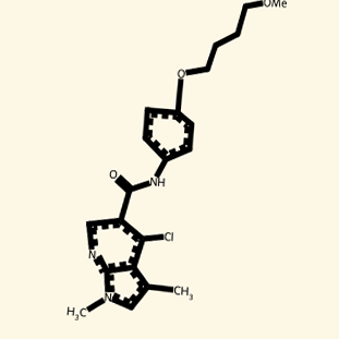 COCCCCOc1ccc(NC(=O)c2cnc3c(c(C)cn3C)c2Cl)cc1